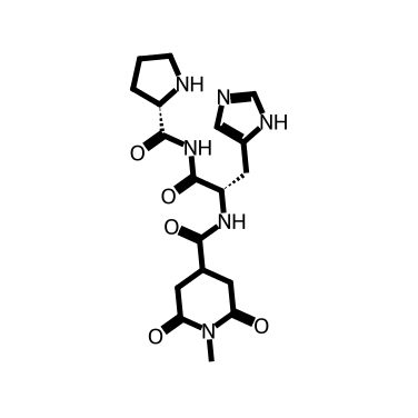 CN1C(=O)CC(C(=O)N[C@@H](Cc2cnc[nH]2)C(=O)NC(=O)[C@@H]2CCCN2)CC1=O